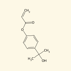 C=CC(=O)Oc1ccc(C(C)(C)O)cc1